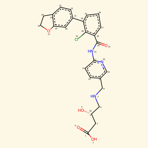 O=C(O)C[C@H](O)CNCc1ccc(NC(=O)c2cccc(-c3ccc4c(c3)OCC4)c2Cl)nc1